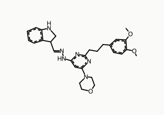 COc1ccc(CCCc2nc(N/N=C/C3CNc4ccccc43)cc(N3CCOCC3)n2)cc1OC